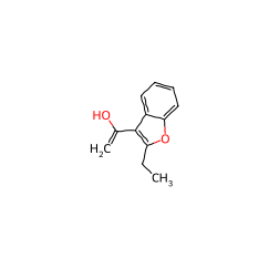 C=C(O)c1c(CC)oc2ccccc12